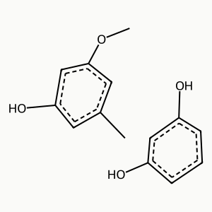 COc1cc(C)cc(O)c1.Oc1cccc(O)c1